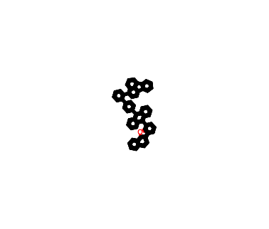 c1ccc(-c2ccc3c4c(cccc24)-c2ccccc2-3)c(-c2ccc(-c3c4ccccc4c(-c4cccc5c4oc4c6ccccc6ccc54)c4ccccc34)cc2)c1